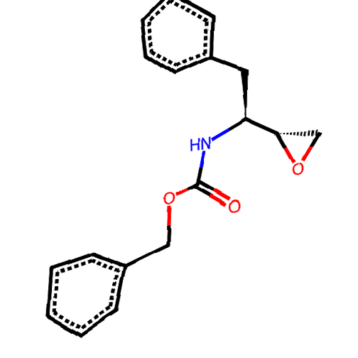 O=C(N[C@@H](Cc1ccccc1)[C@@H]1CO1)OCc1ccccc1